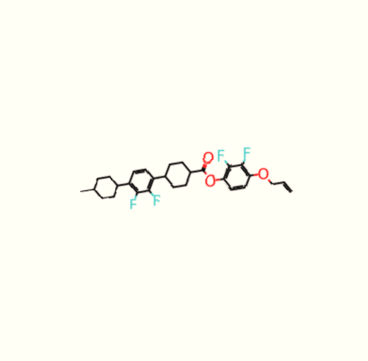 C=CCOc1ccc(OC(=O)C2CCC(c3ccc(C4CCC(C)CC4)c(F)c3F)CC2)c(F)c1F